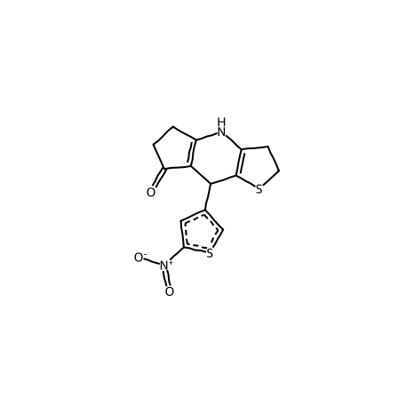 O=C1CCC2=C1C(c1csc([N+](=O)[O-])c1)C1=C(CCS1)N2